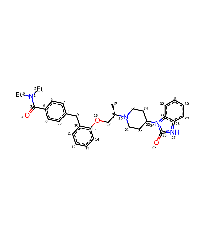 CCN(CC)C(=O)c1ccc(Cc2ccccc2OC[C@@H](C)N2CCC(n3c(=O)[nH]c4ccccc43)CC2)cc1